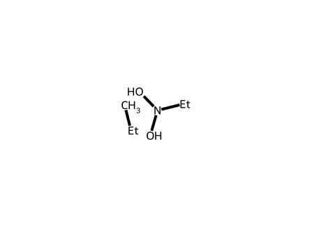 CCC.CCN(O)O